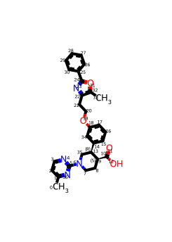 Cc1ccnc(N2CC[C@H](C(=O)O)[C@H](c3cccc(OCCc4nc(-c5ccccc5)oc4C)c3)C2)n1